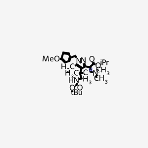 COc1ccc(Cn2nc(/C(=C/N(C)C)C(=O)OC(C)C)c(C(C)(C)CNC(=O)OC(C)(C)C)c2C)cc1